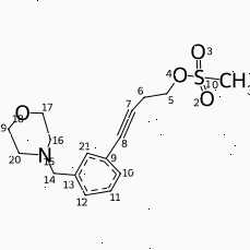 CS(=O)(=O)OCCC#Cc1cccc(CN2CCOCC2)c1